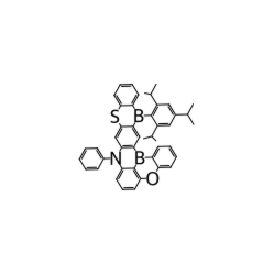 CC(C)c1cc(C(C)C)c(B2c3ccccc3Sc3cc4c(cc32)B2c3ccccc3Oc3cccc(c32)N4c2ccccc2)c(C(C)C)c1